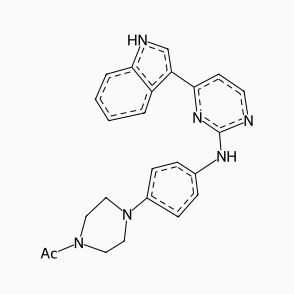 CC(=O)N1CCN(c2ccc(Nc3nccc(-c4c[nH]c5ccccc45)n3)cc2)CC1